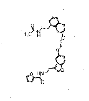 CC(=O)NCCc1cccc2ccc(OCCOc3ccc4occ(CCNC(=O)c5ccco5)c4c3)cc12